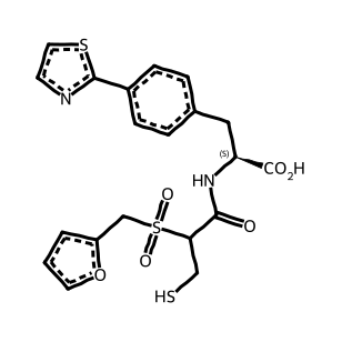 O=C(N[C@@H](Cc1ccc(-c2nccs2)cc1)C(=O)O)C(CS)S(=O)(=O)Cc1ccco1